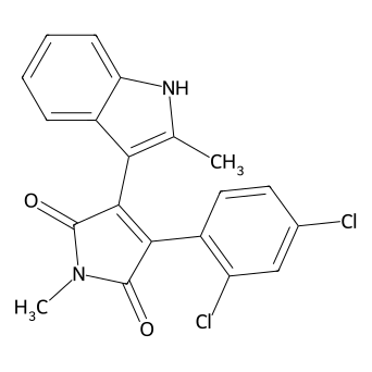 Cc1[nH]c2ccccc2c1C1=C(c2ccc(Cl)cc2Cl)C(=O)N(C)C1=O